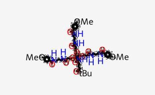 COc1ccc(C(=O)NCCCNC(=O)CCOCC(COCCC(=O)NCCCNC(=O)c2ccc(OC)cc2)(COCCC(=O)NCCCNC(=O)c2ccc(OC)cc2)NC(=O)CCCC(=O)C(C)(C)C)cc1